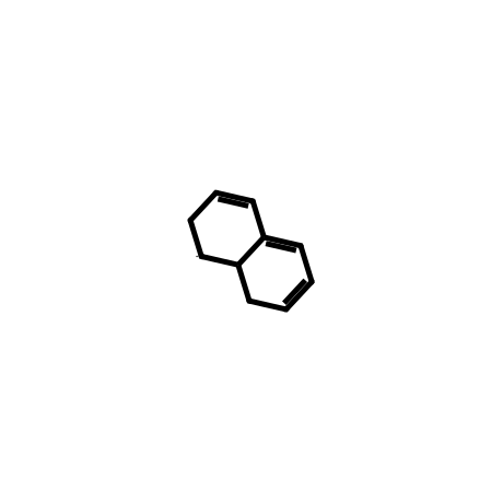 [CH]1CC=CC2=CC=CCC12